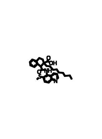 CCCCCCCCCC1(C(=O)O)CCc2ccccc2C1C(=O)Nc1c(SC)ccc2ncccc12